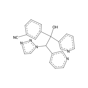 N#Cc1cccc(C(O)(c2cccnc2)C(c2cccnc2)n2ccnn2)c1